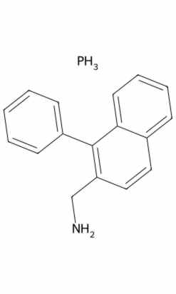 NCc1ccc2ccccc2c1-c1ccccc1.P